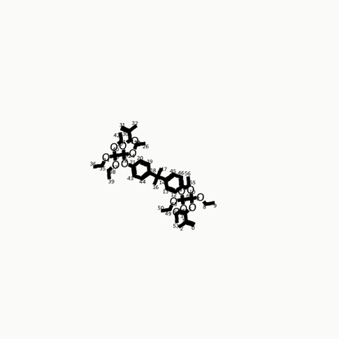 C=C(C)C(=O)OC(OCC)(Oc1ccc(C(C)(C)c2ccc(OC(OCC)(OC(=O)C(=C)C)C(OCC)(OCC)OCC)cc2)cc1)C(OCC)(OCC)OCC